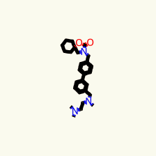 CN(C)CCN(C)Cc1cccc(-c2ccc(CN3CC4(CCCCC4)OC3=O)cc2)c1